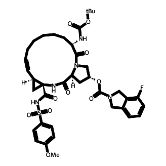 COc1ccc(S(=O)(=O)NC(=O)[C@@]23C[C@H]2/C=C\CCCCC[C@H](NC(=O)OC(C)(C)C)C(=O)N2C[C@H](OC(=O)N4Cc5cccc(F)c5C4)C[C@H]2C(=O)N3)cc1